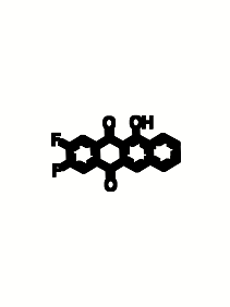 O=C1c2cc(F)c(F)cc2C(=O)c2c1cc1ccccc1c2O